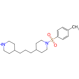 Cc1ccc(S(=O)(=O)N2CCC(CCCC3CCNCC3)CC2)cc1